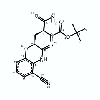 CC(C)(C)OC(=O)N[C@@H](C[C@@H]1Oc2cccc(C#N)c2NC1=O)C(N)=O